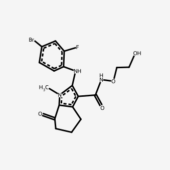 Cn1c(Nc2ccc(Br)cc2F)c(C(=O)NOCCO)c2c1C(=O)CCC2